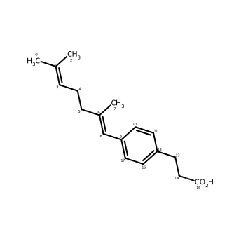 CC(C)=CCC/C(C)=C/c1ccc(CCC(=O)O)cc1